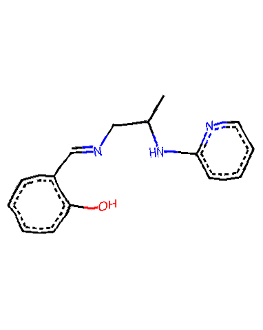 CC(CN=Cc1ccccc1O)Nc1ccccn1